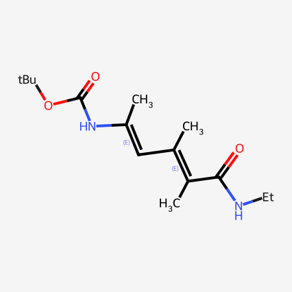 CCNC(=O)/C(C)=C(C)/C=C(\C)NC(=O)OC(C)(C)C